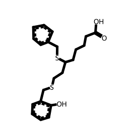 O=C(O)CCCCC(CCSCc1ccccc1O)SCc1ccccc1